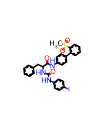 CS(=O)(=O)c1ccccc1-c1ccc(NC(=O)C(Cc2ccccc2)NC(=O)Nc2ccc(I)cc2)cc1